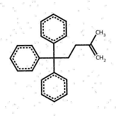 C=C(C)CCC(c1ccccc1)(c1ccccc1)c1ccccc1